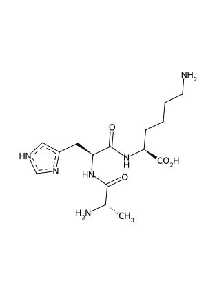 C[C@H](N)C(=O)N[C@@H](Cc1c[nH]cn1)C(=O)N[C@@H](CCCCN)C(=O)O